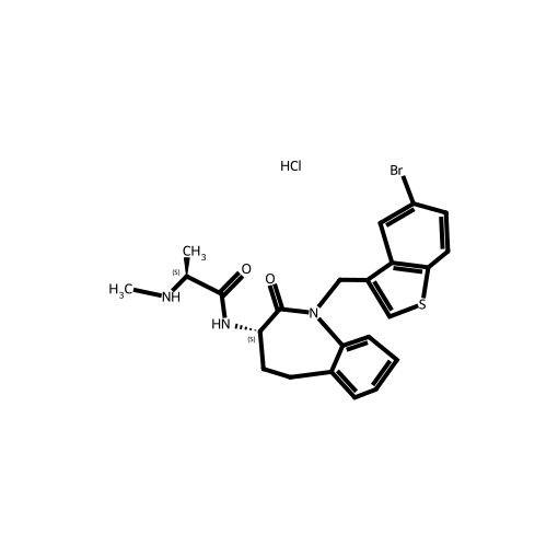 CN[C@@H](C)C(=O)N[C@H]1CCc2ccccc2N(Cc2csc3ccc(Br)cc23)C1=O.Cl